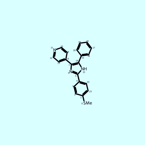 CSc1ccc(-c2nc(-c3ccncc3)c(-c3ccccc3)[nH]2)cc1